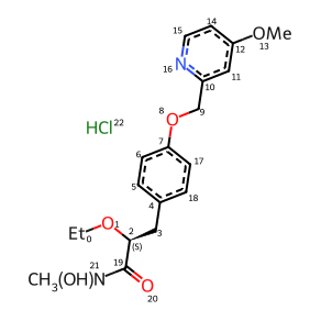 CCO[C@@H](Cc1ccc(OCc2cc(OC)ccn2)cc1)C(=O)N(C)O.Cl